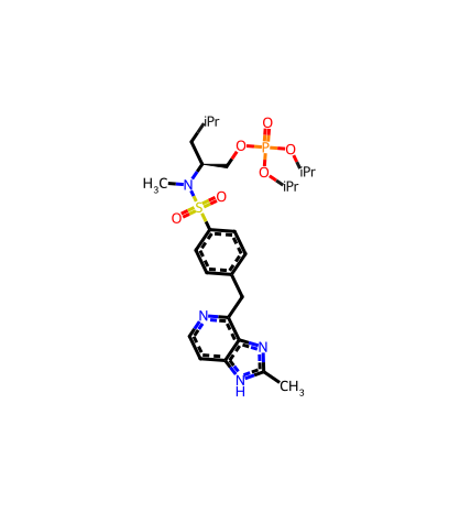 Cc1nc2c(Cc3ccc(S(=O)(=O)N(C)[C@H](COP(=O)(OC(C)C)OC(C)C)CC(C)C)cc3)nccc2[nH]1